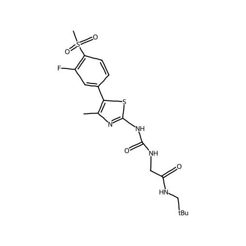 Cc1nc(NC(=O)NCC(=O)NCC(C)(C)C)sc1-c1ccc(S(C)(=O)=O)c(F)c1